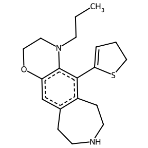 CCCN1CCOc2cc3c(c(C4=CCCS4)c21)CCNCC3